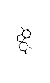 Cc1cccc2c1CCC21CCC(=O)N(C)C1